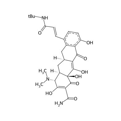 CN(C)[C@H]1C(O)=C(C(N)=O)C(=O)[C@@]2(O)C(O)=C3C(=O)c4c(O)ccc(/C=C/C(=O)NC(C)(C)C)c4C[C@@H]3C[C@H]12